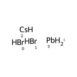 Br.Br.[CsH].[PbH2]